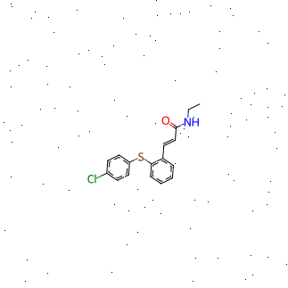 CCNC(=O)C=Cc1ccccc1Sc1ccc(Cl)cc1